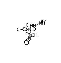 CC(C)NCCNC(=O)CN(CC(=O)N(C)N1Cc2ccccc2C1)c1ccc(Cl)cc1Cl